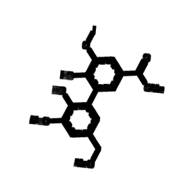 COCc1cc(OC)c(O)c(-c2cc(C(=O)OC)cc(OI)c2O)c1